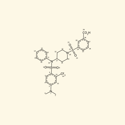 CN(C)c1ccc(S(=O)(=O)N(c2ccccc2)C2CCN(S(=O)(=O)c3cccc(C(=O)O)c3)CC2)c(C(F)(F)F)c1